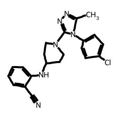 Cc1nnc(N2CCC(Nc3ccccc3C#N)CC2)n1-c1ccc(Cl)cc1